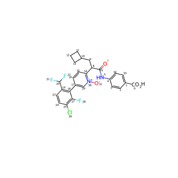 O=C(O)c1ccc(NC(=O)C(CC2CCC2)c2ccc(-c3c(C(F)F)ccc(Cl)c3F)c[n+]2[O-])cc1